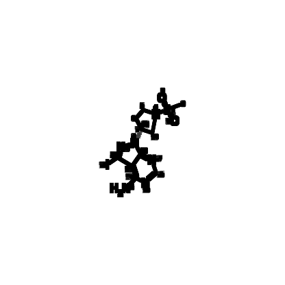 CS(=O)(=O)N1CC[C@@H](n2nc(I)c3c(N)ncnc32)C1